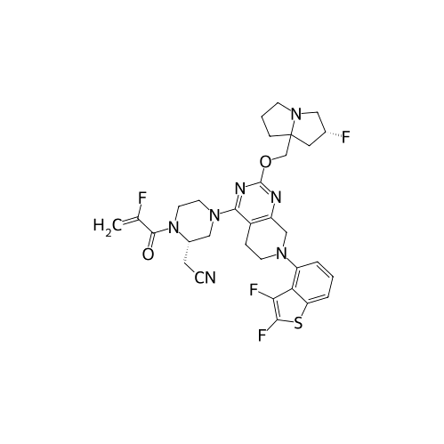 C=C(F)C(=O)N1CCN(c2nc(OCC34CCCN3C[C@H](F)C4)nc3c2CCN(c2cccc4sc(F)c(F)c24)C3)C[C@@H]1CC#N